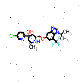 CC(C)n1cnc2cc(OC[C@@H]3C[C@](O)(c4ccc(Cl)cn4)C[C@H](C)N3)cc(C(F)(F)F)c21